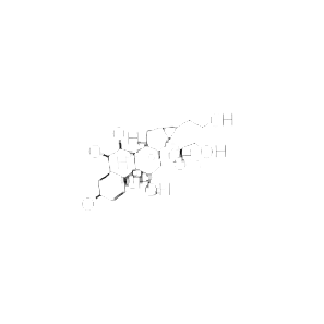 CCCC1C2C[C@H]3[C@@H]4C(=O)C(=O)C5=CC(=O)C=C[C@]5(C)[C@H]4[C@@H](O)C[C@]3(C)[C@]12C(=O)CO